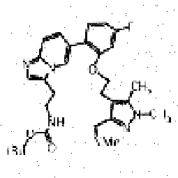 CNCc1nn(C)c(C)c1CCOc1cc(F)ccc1-c1ccc2ncc(CCNC(=O)OC(C)(C)C)n2c1